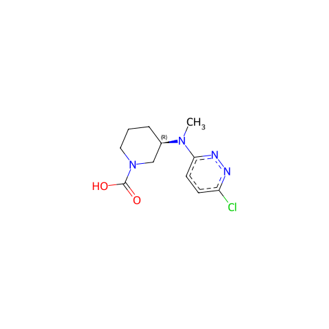 CN(c1ccc(Cl)nn1)[C@@H]1CCCN(C(=O)O)C1